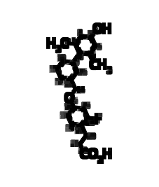 Cc1cc(O)cc(C)c1-c1cccc(COc2ccc(CCC(=O)O)c(F)c2)c1